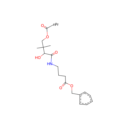 CCCC(=O)OCC(C)(C)C(O)C(=O)NCCCC(=O)OCc1ccccc1